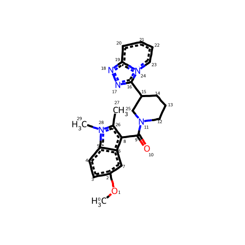 COc1ccc2c(c1)c(C(=O)N1CCCC(c3nnc4ccccn34)C1)c(C)n2C